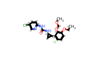 CCOc1ccc(F)c([C@H]2C[C@H]2NC(=O)Nc2ccc(Cl)cn2)c1OCOC